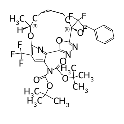 C[C@@H]1CC2CC(C2)C[C@](OCc2ccccc2)(C(F)(F)F)c2nnc(o2)-c2nc(c(C(F)(F)F)cc2N(C(=O)OC(C)(C)C)C(=O)OC(C)(C)C)O1